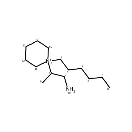 CCCCCC[N+]1(C(C)CN)CCCCC1